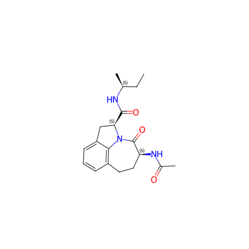 CC[C@H](C)NC(=O)[C@@H]1Cc2cccc3c2N1C(=O)[C@@H](NC(C)=O)CC3